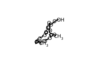 COCCCOc1cc(COC2CN(C(=O)OCCOCCO)CC[C@@H]2c2ccc(OCCCOCc3ccccc3OC)cc2)cc(OC)c1